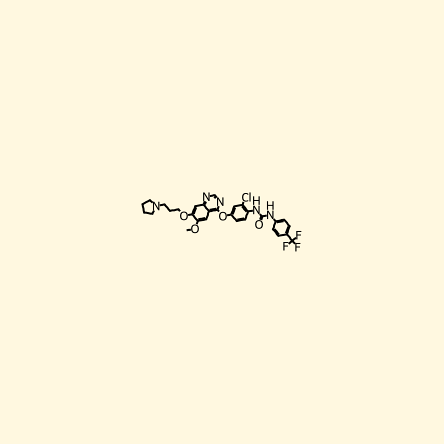 COc1cc2c(Oc3ccc(NC(=O)Nc4ccc(C(F)(F)F)cc4)c(Cl)c3)ncnc2cc1OCCCN1CCCC1